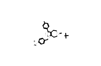 CC(C)(C)OC(=O)N1CCc2c(-c3ccc(Cl)cc3)nn(Cc3ccc([N+](=O)[O-])cc3)c2CC1